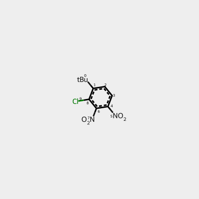 CC(C)(C)c1ccc([N+](=O)[O-])c([N+](=O)[O-])c1Cl